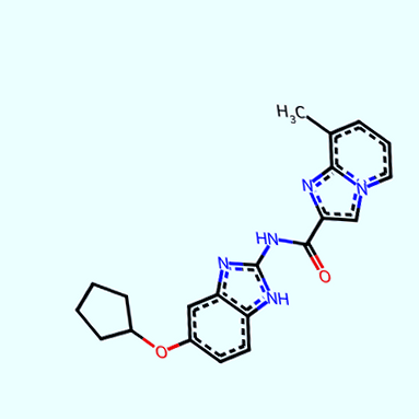 Cc1cccn2cc(C(=O)Nc3nc4cc(OC5CCCC5)ccc4[nH]3)nc12